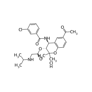 CC(=O)c1ccc2c(c1)[C@H](NC(=O)c1cccc(Cl)c1)[C@@H](OC(=O)CNC(C)C)C(C)(C)O2.Cl